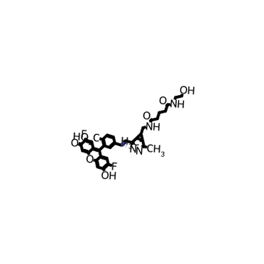 CC1=NN=C(/C=C/c2ccc(C(=O)O)c(-c3c4cc(F)c(=O)cc-4oc4cc(O)c(F)cc34)c2)C2C(CNC(=O)CCCC(=O)NCCO)C12C